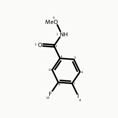 CONC(=O)c1ccc(I)c(F)c1